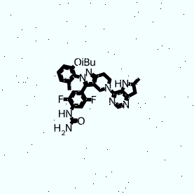 Cc1cccc(OCC(C)C)c1-n1nc2c(c1-c1cc(F)c(NC(N)=O)cc1F)CN(c1ncnc3c1NC(C)C3)CC2